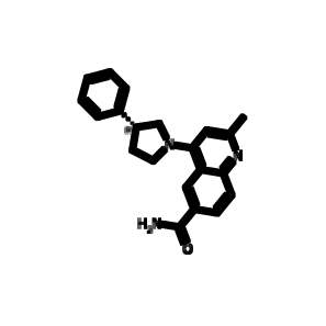 Cc1cc(N2CC[C@H](c3ccccc3)C2)c2cc(C(N)=O)ccc2n1